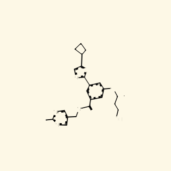 C[C@H](CCO)Oc1cc(C(=O)NCc2cnc(C(F)(F)F)nc2)cc(-c2ncc(C3CCC3)s2)c1